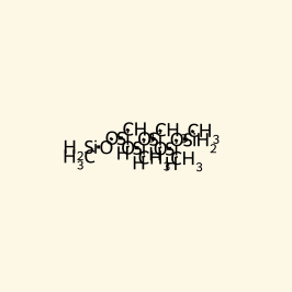 C[SiH2]OO[SiH](C)O[SiH](C)O[SiH](C)O[SiH](C)O[SiH2]C